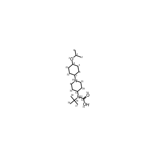 CC(C)OC1CCC(N2CCC(N(C(=O)O)C(C)(C)C)CC2)CC1